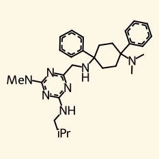 CNc1nc(CNC2(c3ccccc3)CCC(c3ccccc3)(N(C)C)CC2)nc(NCC(C)C)n1